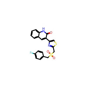 O=c1[nH]c2ccccc2cc1-c1csc(CS(=O)(=O)Cc2ccc(F)cc2)n1